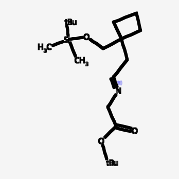 CC(C)(C)OC(=O)C/N=C/CC1(CO[Si](C)(C)C(C)(C)C)CCC1